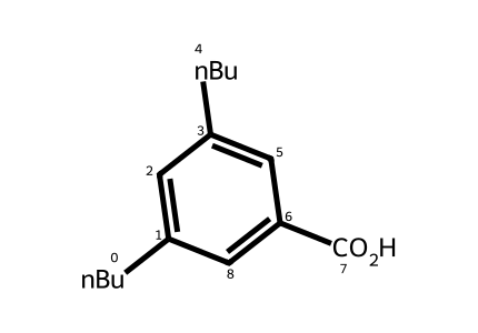 CCCCc1cc(CCCC)cc(C(=O)O)c1